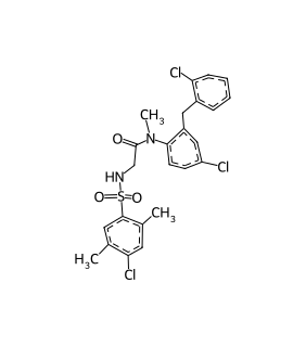 Cc1cc(S(=O)(=O)NCC(=O)N(C)c2ccc(Cl)cc2Cc2ccccc2Cl)c(C)cc1Cl